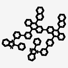 c1ccc(-c2nc3ccccc3n2-c2cccc(-c3ccc(-c4c5ccccc5c(-c5ccc6ccccc6c5)c5ccc(-c6ccc7c(-c8cccc(-c9cccc(-n%10c(-c%11ccccc%11)nc%11ccccc%11%10)c9)c8)c8ccccc8c(-c8ccc9ccccc9c8)c7c6)cc45)cc3)c2)cc1